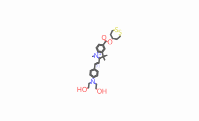 C[N+]1=C(/C=C/c2ccc(N(CCO)CCO)cc2)C(C)(C)c2cc(C(=O)OC3CCSSCC3)ccc21